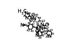 Cn1cnc(S(=O)(=O)N2CCC(CN3C(=O)C(Cc4ccncc4)(Cc4ccncc4)NC3=CC(=O)c3ccc(C#N)cc3)CC2)c1